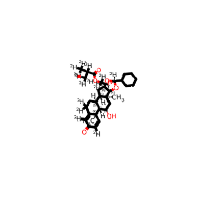 [2H]C1=C[C@@]2(C)C(=C([2H])C1=O)C([2H])([2H])C[C@@H]1[C@@H]2[C@@H](O)C[C@@]2(C)[C@H]1C[C@H]1O[C@@]([2H])(C3CCCCC3)O[C@]12C(=O)C([2H])([2H])OC(=O)C([2H])(C([2H])([2H])[2H])C([2H])([2H])[2H]